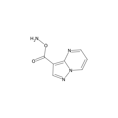 NOC(=O)c1cnn2cccnc12